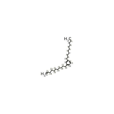 CCCCCCCCCCCc1c[c]cc(CCCCCCCCCCC)c1